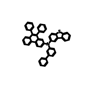 c1ccc(-c2cccc(N(c3ccc4c(c3)c(-c3ccccc3)c(-c3ccccc3)c3ccccc34)c3ccc4sc5ccccc5c4c3)c2)cc1